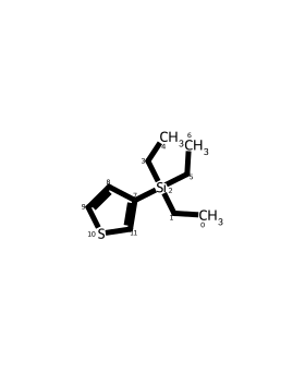 CC[Si](CC)(CC)c1ccsc1